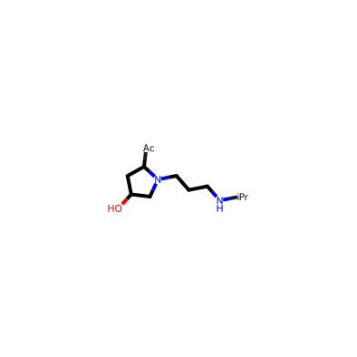 CC(=O)C1CC(O)CN1CCCNC(C)C